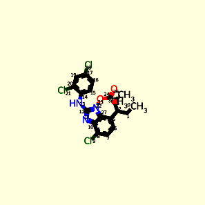 CCC(CC)c1ccc(Cl)c2nc(Nc3ccc(Cl)cc3Cl)n(OC(C)=O)c12